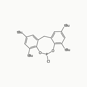 CC(C)(C)c1cc2c(c(C(C)(C)C)c1)OP(Cl)Oc1c(cc(C(C)(C)C)cc1C(C)(C)C)C2